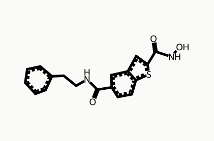 O=C(NCCc1ccccc1)c1ccc2sc(C(=O)NO)cc2c1